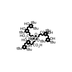 CC(C)(C)c1cc(Cc2cc(CC(CCn3c(=O)n(CCC(Cc4cc(Cc5cc(C(C)(C)C)cc(C(C)(C)C)c5O)c(O)c(C(C)(C)C)c4)C(=O)O)c(=O)n(CCC(Cc4cc(Cc5cc(C(C)(C)C)cc(C(C)(C)C)c5O)c(O)c(C(C)(C)C)c4)C(=O)O)c3=O)C(=O)O)cc(C(C)(C)C)c2O)c(O)c(C(C)(C)C)c1